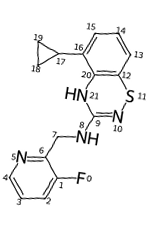 Fc1cccnc1CNC1=NSc2cccc(C3CC3)c2N1